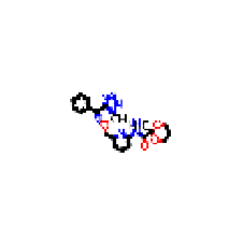 Cn1nnnc1/C(=N\OCc1cccc(NC(=O)C2(C)OCCCO2)n1)c1ccccc1